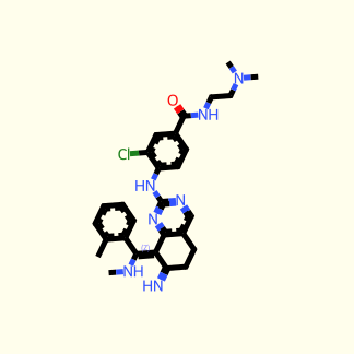 CN/C(=C1\C(=N)CCc2cnc(Nc3ccc(C(=O)NCCN(C)C)cc3Cl)nc21)c1ccccc1C